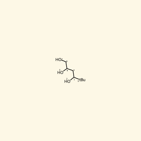 CC(C)(C)C(O)CC(O)CO